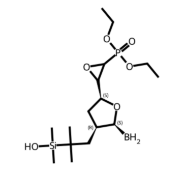 B[C@@H]1O[C@H](C2OC2P(=O)(OCC)OCC)C[C@@H]1CC(C)(C)[Si](C)(C)O